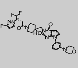 O=C(C[C@@H](C(F)F)n1ccc(F)n1)N1CCC(O)(Cn2cnc3c(ccn3-c3cccc(N4CCOCC4)c3)c2=O)CC1